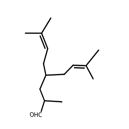 CC(C)=CCC(CC=C(C)C)CC(C)C=O